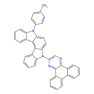 Cc1ccc(-n2c3ccccc3c3c4c5ccccc5n(-c5cnc6c7ccccc7c7ccccc7c6n5)c4ccc32)cc1